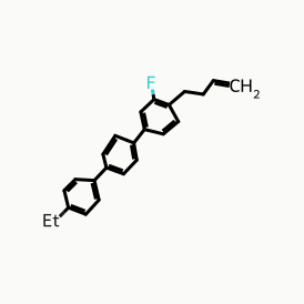 C=CCCc1ccc(-c2ccc(-c3ccc(CC)cc3)cc2)cc1F